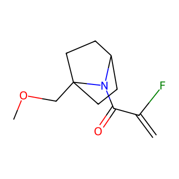 C=C(F)C(=O)N1C2CCC1(COC)CC2